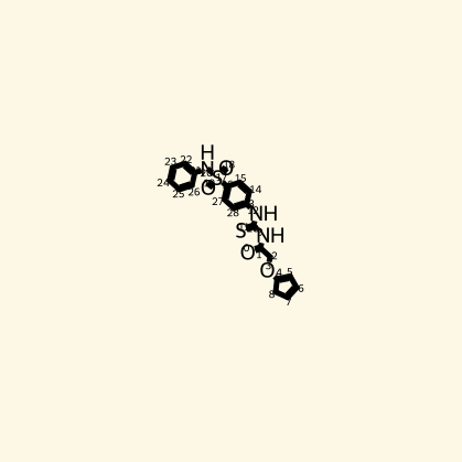 O=C(COC1=CC=CC1)NC(=S)Nc1ccc(S(=O)(=O)Nc2ccccc2)cc1